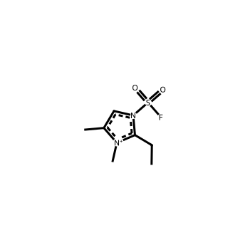 CCc1n(S(=O)(=O)F)cc(C)[n+]1C